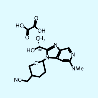 CNc1cc2c(cn1)nc([C@@H](C)O)n2C1CCC(CC#N)CC1.O=C(O)C(=O)O